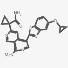 CNc1ncc(-c2nc3cc(OC4CC4)ccc3o2)c2cc(C3(C(N)=O)CC3)ncc12